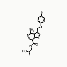 CC(O)CNC(=O)c1cnc(N)c2c(COc3ccc(Br)cc3)csc12